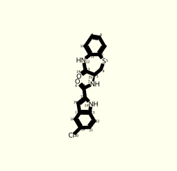 O=C(N[C@@H]1CSc2ccccc2NC1=O)c1cc2cc(Cl)ccc2[nH]1